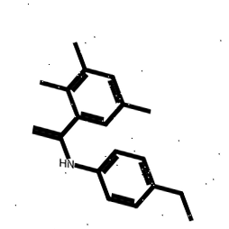 C=C(Nc1ccc(CC)cc1)c1cc(C)cc(C)c1C